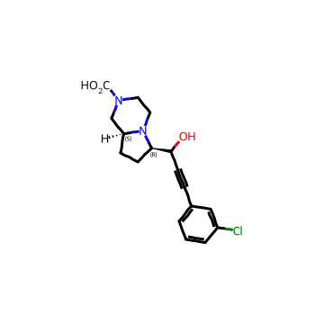 O=C(O)N1CCN2[C@@H](CC[C@@H]2C(O)C#Cc2cccc(Cl)c2)C1